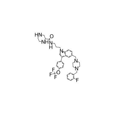 O=C(NCCCn1cc(-c2ccc(OC(F)(F)F)cc2)c2cc(CN3CCN(Cc4ccccc4F)CC3)ccc21)C1CNCCN1